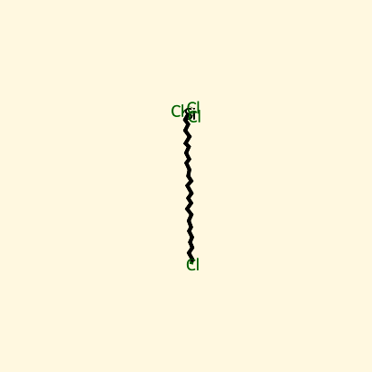 ClCCCCCCCCCCCCCCCCCCCCCCCCCC[Si](Cl)(Cl)Cl